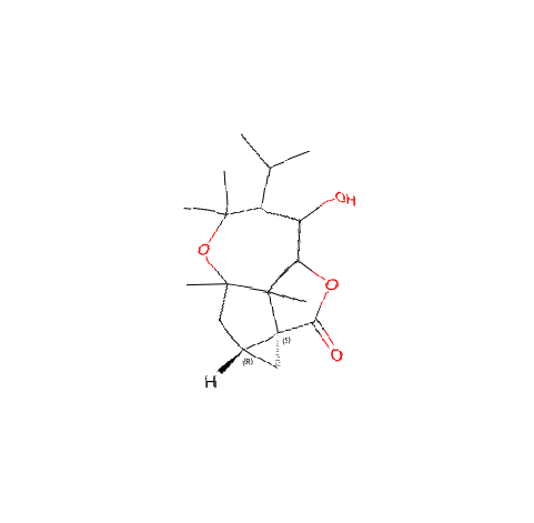 CC(C)C1C(O)C2OC(=O)[C@@]34C[C@@H]3CC(C)(OC1(C)C)C24C